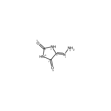 N/N=C1\NC(=O)NC1=O